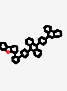 c1ccc(-c2cccc3c2oc2ccccc23)c(-c2ccc(-c3c4ccccc4c(-c4ccc(-c5cc6ccccc6c6ccccc56)cc4)c4ccccc34)cc2)c1